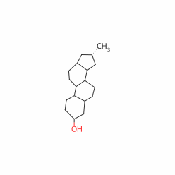 C[C@H]1CC2CCC3C4CCC(O)CC4CCC3C2C1